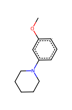 COc1[c]ccc(N2CCCCC2)c1